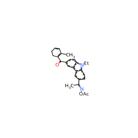 CCn1c2ccc(C(=O)C3=C(C)C=CCC3)cc2c2cc(/C(C)=N/OC(C)=O)ccc21